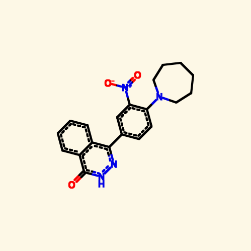 O=c1[nH]nc(-c2ccc(N3CCCCCC3)c([N+](=O)[O-])c2)c2ccccc12